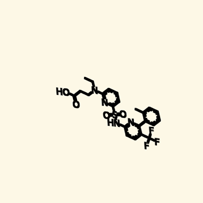 CCN(CCC(=O)O)c1cccc(S(=O)(=O)Nc2ccc(C(F)(F)F)c(-c3ccccc3C)n2)n1